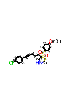 CCCCOc1ccc(S(=O)(=O)C2(CCCC#Cc3ccc(Cl)cc3)CNCS2)cc1